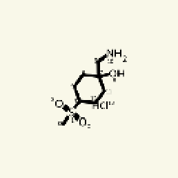 CS(=O)(=O)C1CCC(O)(CN)CC1.Cl